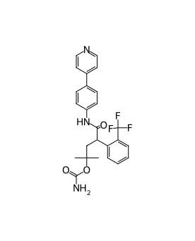 CC(C)(CC(C(=O)Nc1ccc(-c2ccncc2)cc1)c1ccccc1C(F)(F)F)OC(N)=O